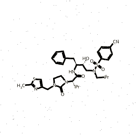 Cc1nc(CN2CCN([C@H](C(=O)N[C@@H](Cc3ccccc3)[C@H](O)CN(CC(C)C)S(=O)(=O)c3ccc(C#N)cc3)C(C)C)C2=O)cs1